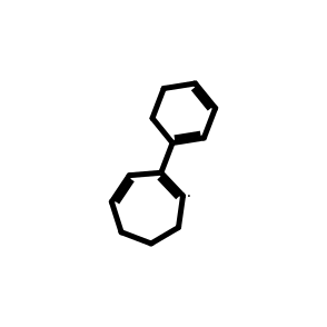 [C]1=C(C2=CC=CCC2)C=CCCC1